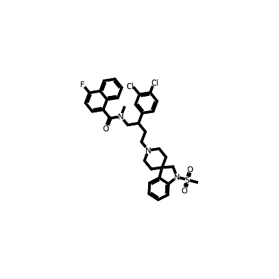 CN(CC(CCN1CCC2(CC1)CN(S(C)(=O)=O)c1ccccc12)c1ccc(Cl)c(Cl)c1)C(=O)c1ccc(F)c2ccccc12